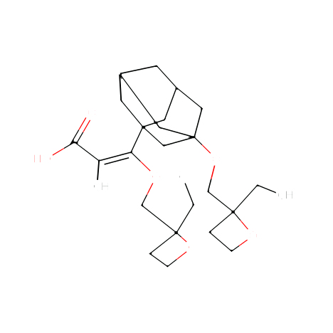 CCC1(COC(=C(C)C(=O)O)C23CC4CC(CC(OCC5(CC)CCO5)(C4)C2)C3)CCO1